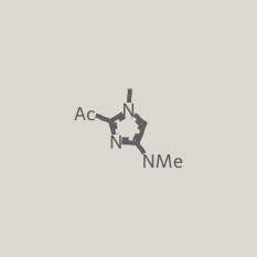 CNc1cn(C)c(C(C)=O)n1